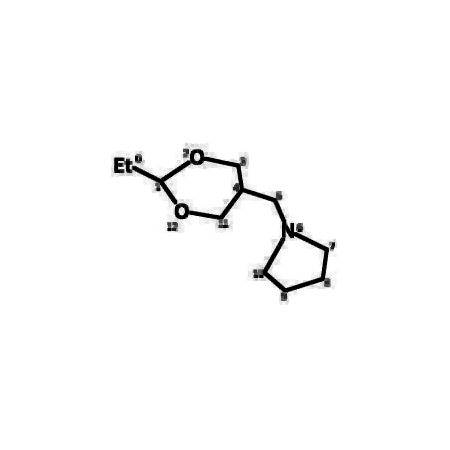 CCC1OCC(CN2CCCC2)CO1